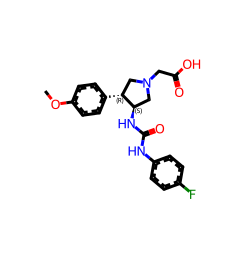 COc1ccc([C@@H]2CN(CC(=O)O)C[C@H]2NC(=O)Nc2ccc(F)cc2)cc1